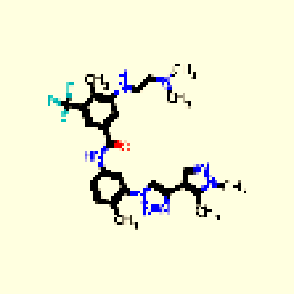 Cc1ccc(NC(=O)c2cc(NCCN(C)C)c(C)c(C(F)(F)F)c2)cc1-n1cc(-c2cnn(C)c2C)nn1